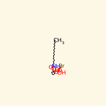 CCCCCCCCCCCCCCCCCCNC(=O)OCC1(COP(=O)(O)OCCBr)CCCC1